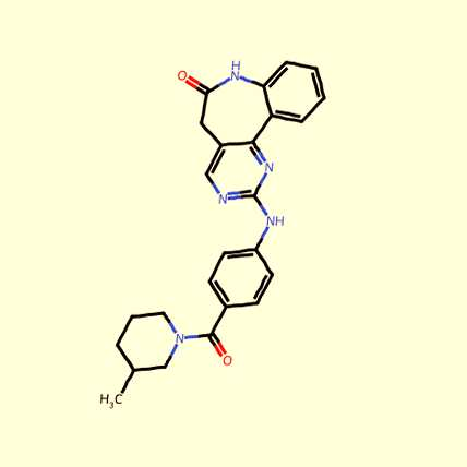 CC1CCCN(C(=O)c2ccc(Nc3ncc4c(n3)-c3ccccc3NC(=O)C4)cc2)C1